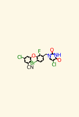 N#Cc1cc(Cl)cc(Oc2c(Br)ccc(Cn3cc(Cl)c(=O)[nH]c3=O)c2F)c1